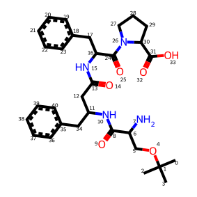 CC(C)(C)OCC(N)C(=O)NC(CC(=O)NC(Cc1ccccc1)C(=O)N1CCCC1C(=O)O)Cc1ccccc1